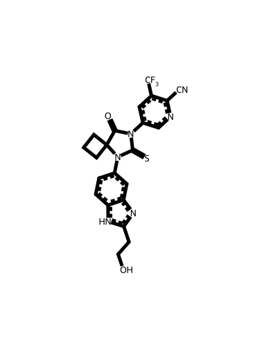 N#Cc1ncc(N2C(=O)C3(CCC3)N(c3ccc4[nH]c(CCO)nc4c3)C2=S)cc1C(F)(F)F